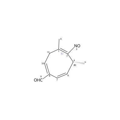 C/C1=C(\N=O)[C@H](C)C=CC(C=O)=CC1